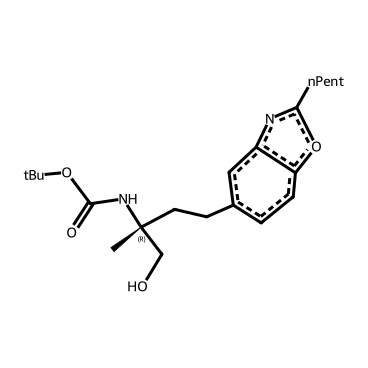 CCCCCc1nc2cc(CC[C@](C)(CO)NC(=O)OC(C)(C)C)ccc2o1